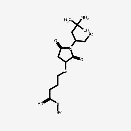 CC(=O)CC(CC(C)(C)N)N1C(=O)CC(SCCCC(=N)SC(C)C)C1=O